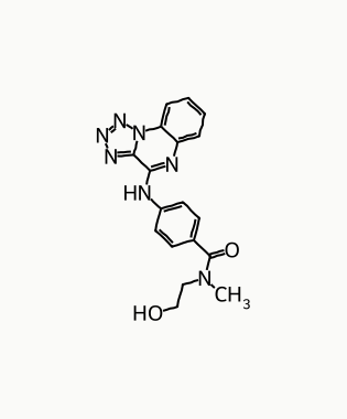 CN(CCO)C(=O)c1ccc(Nc2nc3ccccc3n3nnnc23)cc1